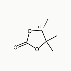 C[C@H]1OC(=O)OC1(C)C